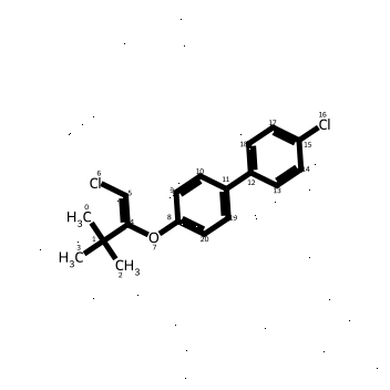 CC(C)(C)C(=CCl)Oc1ccc(-c2ccc(Cl)cc2)cc1